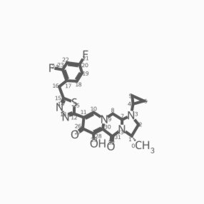 C[C@H]1CN(C2CC2)C2Cn3cc(-c4nnc(Cc5ccc(F)cc5F)s4)c(=O)c(O)c3C(=O)N21